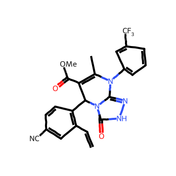 C=Cc1cc(C#N)ccc1C1C(C(=O)OC)=C(C)N(c2cccc(C(F)(F)F)c2)c2n[nH]c(=O)n21